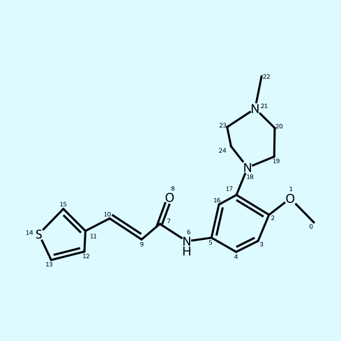 COc1ccc(NC(=O)C=Cc2ccsc2)cc1N1CCN(C)CC1